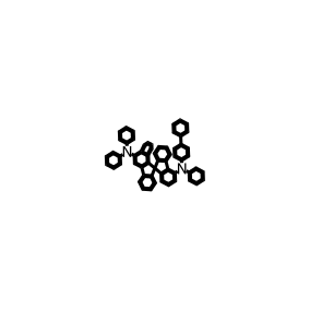 c1ccc(-c2ccc(N(c3ccccc3)c3cccc4c3-c3ccccc3C43c4ccccc4-c4cc(N(c5ccccc5)c5ccccc5)c5ccccc5c43)cc2)cc1